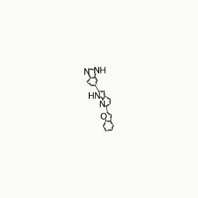 c1ccc2oc(-c3ccc4cc(-c5ccc6nc[nH]c6c5)[nH]c4n3)cc2c1